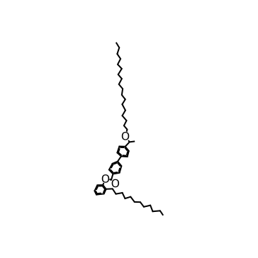 CCCCCCCCCCCCCCCCCCOC(C)c1ccc(-c2ccc(C(=O)Oc3ccccc3CCCCCCCCCCCC)cc2)cc1